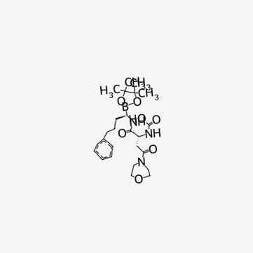 CC1(C)OB([C@H](CCCc2ccccc2)NC(=O)[C@@H](CC(=O)N2CCOCC2)NC(=O)O)OC1(C)C